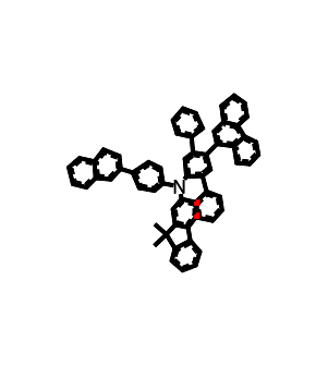 CC1(C)c2ccccc2-c2ccc(N(c3ccc(-c4ccc5ccccc5c4)cc3)c3cc(-c4ccccc4)c(-c4cc5ccccc5c5ccccc45)cc3-c3ccccc3)cc21